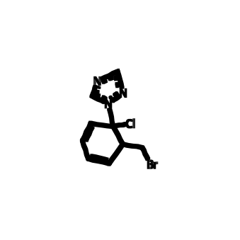 ClC1(n2cncn2)C=CC=CC1CBr